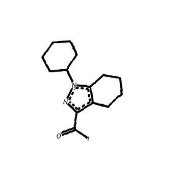 O=C(I)c1nn(C2CCCCC2)c2c1CCCC2